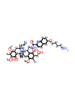 COc1c(C)c(OC)c2c(c1O)[C@H]1[C@@H]3Cc4c(OC)c(C)c(CO)c(O)c4[C@H](CNC(=O)c4ccc5cc(OCCCCN)ccc5n4)N3[C@@H](C#N)[C@@H](C2)N1C